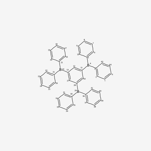 c1ccc(B(c2ccccc2)c2cc(B(c3ccccc3)c3ccccc3)cc(B(c3ccccc3)c3ccccc3)c2)cc1